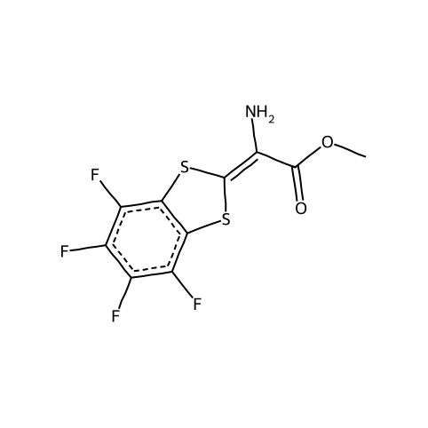 COC(=O)C(N)=C1Sc2c(F)c(F)c(F)c(F)c2S1